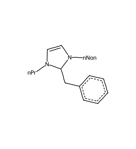 CCCCCCCCCN1C=CN(CCC)C1Cc1ccccc1